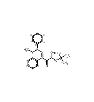 CCN(/C=C(/C(=O)C(=O)OC(C)(C)C)c1ccccc1)c1ccccc1